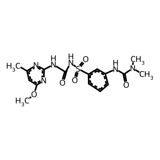 COc1cc(C)nc(NC(=O)NS(=O)(=O)c2cccc(NC(=O)N(C)C)c2)n1